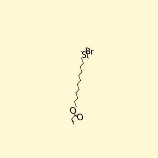 C=CC(=O)OCCCCCCCCCCCC[Si](C)(C)Br